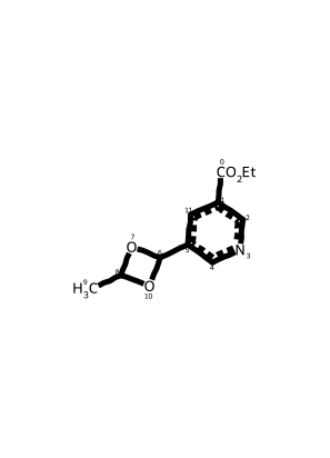 CCOC(=O)c1cncc(C2OC(C)O2)c1